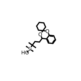 CC(C)(CCC1OC2(CCCCC2)Oc2ccccc21)[Si](C)(C)O